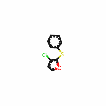 Clc1ccoc1Sc1ccccc1